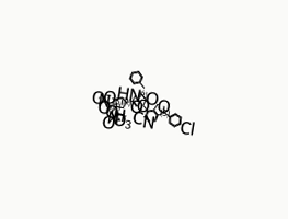 Cc1ncc2c(c1OC(=O)[C@@H](Cc1ccccc1)NC(=O)[C@@H]1C[C@H](O[N+](=O)[O-])[C@H](O[N+](=O)[O-])C1)CO[C@H]2c1ccc(Cl)cc1